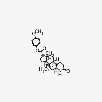 COc1ccc(OC(=O)[C@H]2CC[C@H]3[C@@H]4[C@@H](C)C[C@H]5NC(=O)CC[C@]5(C)[C@H]4CC[C@]23C)cc1